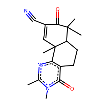 Cc1nc2c(c(=O)n1C)CCC1C(C)(C)C(=O)C(C#N)=CC21C